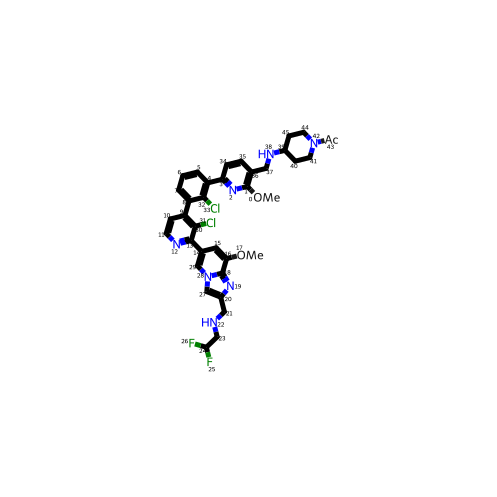 COc1nc(-c2cccc(-c3ccnc(-c4cc(OC)c5nc(CNCC(F)F)cn5c4)c3Cl)c2Cl)ccc1CNC1CCN(C(C)=O)CC1